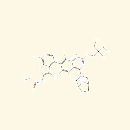 CC(C)(C)OC(=O)Nc1sc2c(F)ccc(-c3c(C(F)(F)F)cc4c(N5CC6CCC(C5)N6C(=O)O)nc(OCC5(CO)COC5)nc4c3F)c2c1C#N